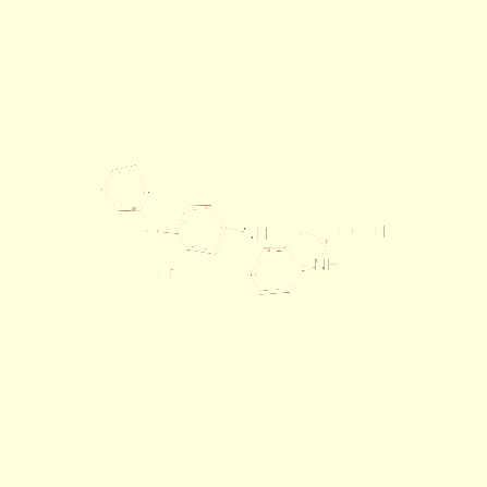 O=C(O)c1cc2c(Nc3ccc(Oc4ccccc4)c(Cl)c3)ccc(F)c2[nH]1